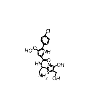 NCC(NC(=O)c1cc(OO)c(-c2ccc(Cl)cc2)[nH]1)c1nc(O)c(CO)s1